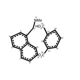 CNCc1cccc2ccccc12.O=C(O)c1cccc(C(=O)O)c1